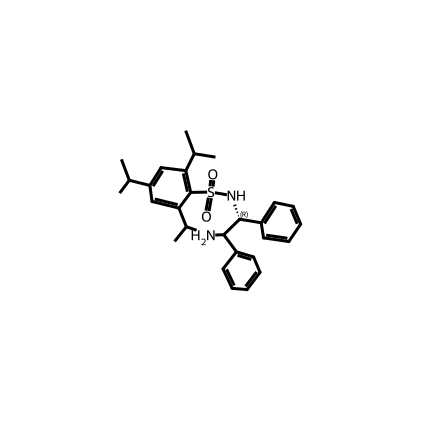 CC(C)c1cc(C(C)C)c(S(=O)(=O)N[C@H](c2ccccc2)C(N)c2ccccc2)c(C(C)C)c1